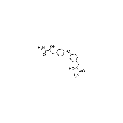 NC(=O)N(O)Cc1ccc(Oc2ccc(CN(O)C(N)=O)cc2)cc1